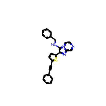 C(#Cc1ccc(-c2nc3cnccn3c2NCc2ccccc2)s1)c1ccccc1